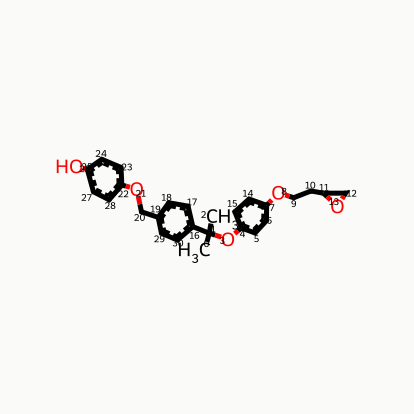 CC(C)(Oc1ccc(OCCC2CO2)cc1)c1ccc(COc2ccc(O)cc2)cc1